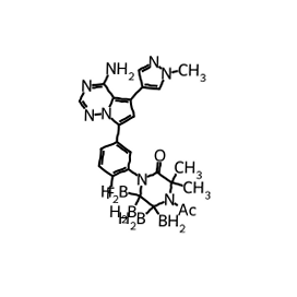 BC1(B)N(c2cc(-c3cc(-c4cnn(C)c4)c4c(N)ncnn34)ccc2F)C(=O)C(C)(C)N(C(C)=O)C1(B)B